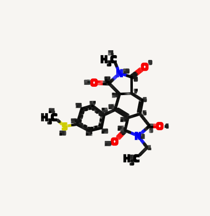 CCN1C(=O)C2=CC3C(=O)N(C)C(=O)C3C(c3ccc(SC)cc3)=C2C1=O